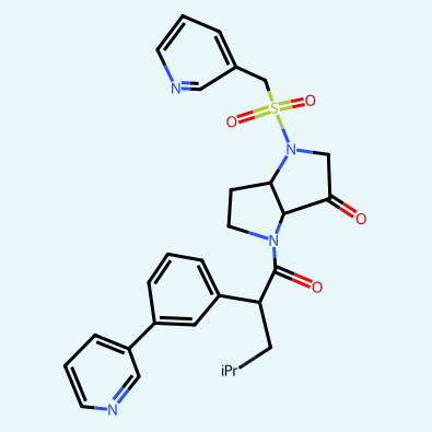 CC(C)CC(C(=O)N1CCC2C1C(=O)CN2S(=O)(=O)Cc1cccnc1)c1cccc(-c2cccnc2)c1